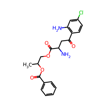 CC(COC(=O)C(N)CC(=O)c1ccc(Cl)cc1N)OC(=O)c1ccccc1